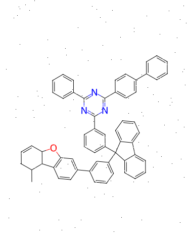 CC1CC=CC2Oc3cc(-c4cccc(C5(c6cccc(-c7nc(-c8ccccc8)nc(-c8ccc(-c9ccccc9)cc8)n7)c6)c6ccccc6-c6ccccc65)c4)ccc3C12